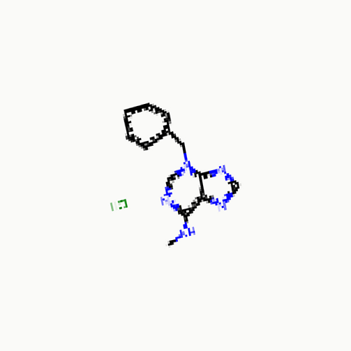 CNc1ncn(Cc2ccccc2)c2ncnc1-2.Cl